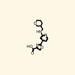 O=C(O)c1coc(-c2ccnc(NCC3CCCOC3)c2)n1